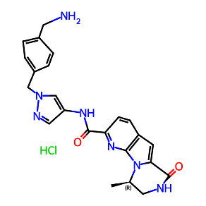 C[C@@H]1CNC(=O)c2cc3ccc(C(=O)Nc4cnn(Cc5ccc(CN)cc5)c4)nc3n21.Cl